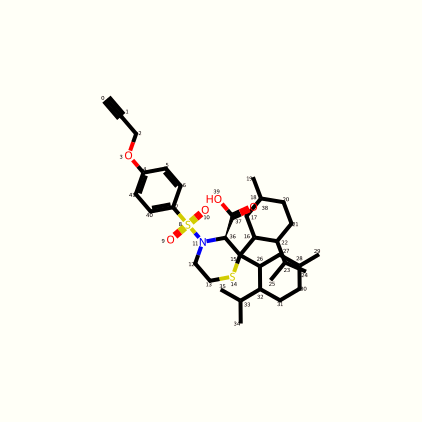 C#CCOc1ccc(S(=O)(=O)N2CCSC(C3CC(C)CCC3C(C)C)(C3CC(C)CCC3C(C)C)[C@@H]2C(=O)O)cc1